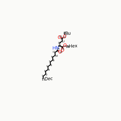 CCCCCCCCCCCCCCCCCCCCCC(=O)N[C@@H](CCC(=O)OC(C)(C)C)C(=O)OCCCCCC